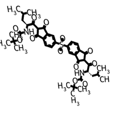 CC(C)C[C@H](NC(=O)OC(C)(C)C)C(=O)C1C(=O)c2ccc(S(=O)(=O)c3ccc4c(c3)C(=O)C(C(=O)[C@H](CC(C)C)NC(=O)OC(C)(C)C)C4=O)cc2C1=O